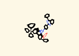 c1ccc(-c2nc(-c3ccc(-n4c5ccc([Si](c6ccccc6)(c6ccccc6)c6ccccc6)cc5c5ccc6c7ccccc7oc6c54)cc3)nc3ccccc23)cc1